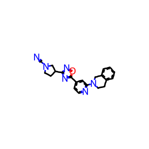 N#CN1CCC(c2noc(-c3ccnc(N4CCc5ccccc5C4)c3)n2)C1